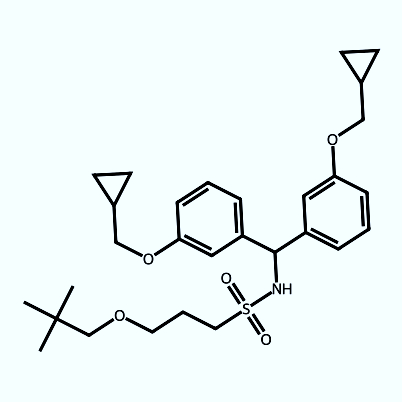 CC(C)(C)COCCCS(=O)(=O)NC(c1cccc(OCC2CC2)c1)c1cccc(OCC2CC2)c1